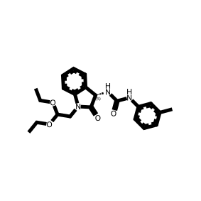 CCOC(CN1C(=O)[C@@H](NC(=O)Nc2cccc(C)c2)c2ccccc21)OCC